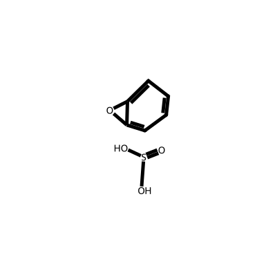 O=S(O)O.c1ccc2c(c1)O2